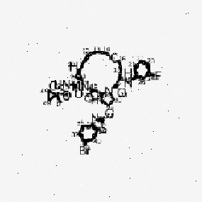 CC1(S(=O)(=O)NC(=O)[C@@]23C[C@H]2/C=C\CCCCC[C@H](Nc2cccc(F)c2)C(=O)N2C[C@H](Oc4nc5ccc(Br)cc5s4)C[C@H]2C(=O)N3)CC1